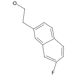 [O]CCc1ccc2ccc(F)cc2c1